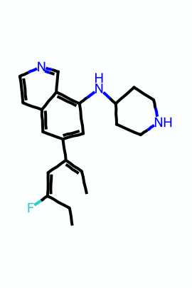 C/C=C(\C=C(\F)CC)c1cc(NC2CCNCC2)c2cnccc2c1